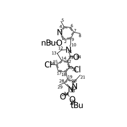 CCCCOc1nc(C)cc(C)c1CN1CCc2c(Cl)cc(-c3c(C)nn(C(=O)OC(C)(C)C)c3C)c(Cl)c2C1=O